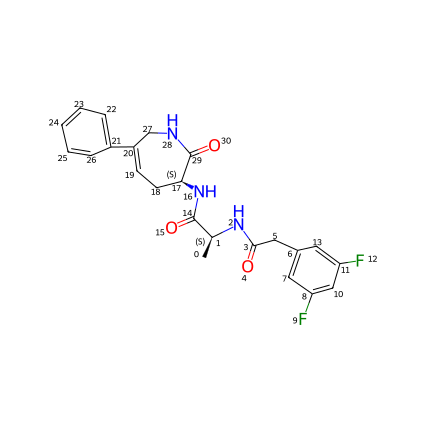 C[C@H](NC(=O)Cc1cc(F)cc(F)c1)C(=O)N[C@H]1CC=C(c2ccccc2)CNC1=O